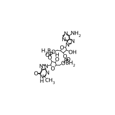 B[P@]1(=O)OCC2OC(n3cnc4c(=O)[nH]c(C)nc43)C(O[P@@](B)(=O)OCC3OC(n4cnc5c(N)ncnc54)C(O)C3O1)C2O